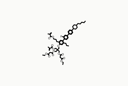 C=C(C)C(=O)OCCCc1cc(-c2ccc(-c3ccc(C4CCC(CCCCC)CC4)cc3)cc2F)c(CCC)cc1OCC(COC(=O)CC(=O)OCC)(COC(=O)CC(=O)OCC)COC(=O)C(=C)C